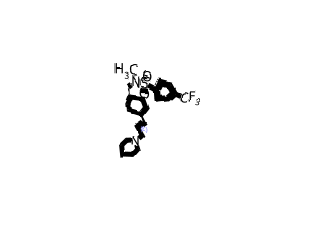 CN(C[C@H]1CC[C@H](/C=C/CN2CCCCC2)CC1)S(=O)(=O)c1ccc(C(F)(F)F)cc1